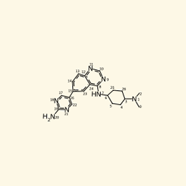 CN(C)C1CCC(Nc2ncnc3ccc(-c4cnc(N)nc4)cc23)CC1